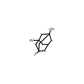 CC(C)C12CC3CC(O)(CC(F)(C3)C1)C2